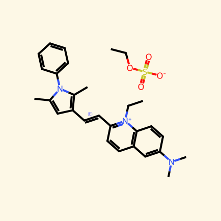 CCOS(=O)(=O)[O-].CC[n+]1c(/C=C/c2cc(C)n(-c3ccccc3)c2C)ccc2cc(N(C)C)ccc21